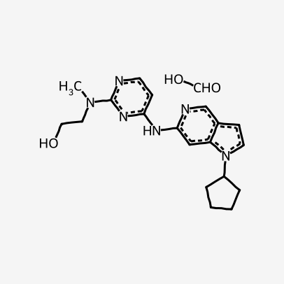 CN(CCO)c1nccc(Nc2cc3c(ccn3C3CCCC3)cn2)n1.O=CO